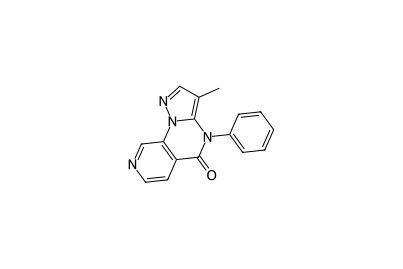 Cc1cnn2c3cnccc3c(=O)n(-c3ccccc3)c12